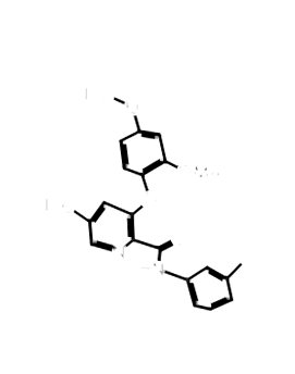 COc1cc(OC(F)(F)F)ccc1Oc1cc(C(F)(F)F)cnc1C(=O)Nc1cccc(C)c1